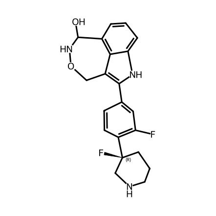 OC1NOCc2c(-c3ccc([C@]4(F)CCCNC4)c(F)c3)[nH]c3cccc1c23